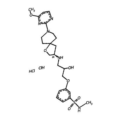 CNS(=O)(=O)c1cccc(OCC(O)CN[C@H]2COC3(CCN(c4nccc(OC)n4)CC3)C2)c1.Cl.Cl